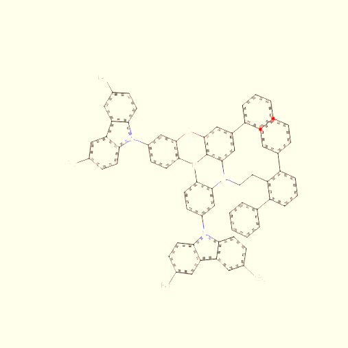 CC(C)(C)c1ccc2c(c1)c1cc(C(C)(C)C)ccc1n2-c1ccc2c(c1)Oc1cc(-c3ccccc3)cc3c1B2c1ccc(-n2c4ccc(C(C)(C)C)cc4c4cc(C(C)(C)C)ccc42)cc1N3CCc1c(-c2ccccc2)cccc1-c1ccccc1